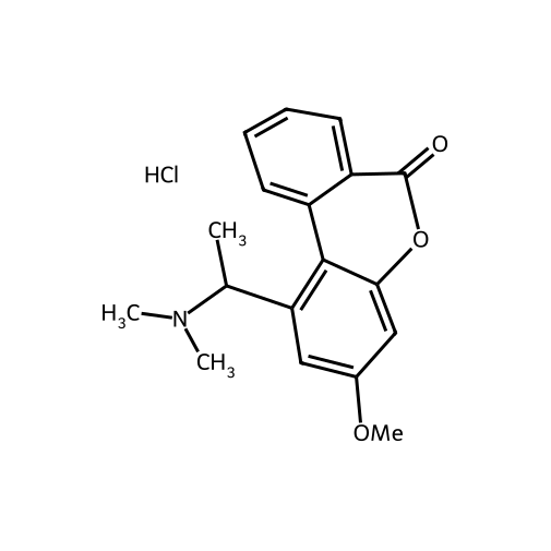 COc1cc(C(C)N(C)C)c2c(c1)oc(=O)c1ccccc12.Cl